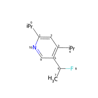 CC(C)c1cc(C(C)C)c(C(C)F)cn1